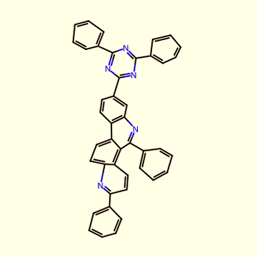 c1ccc(-c2ccc3c(ccc4c5ccc(-c6nc(-c7ccccc7)nc(-c7ccccc7)n6)cc5nc(-c5ccccc5)c34)n2)cc1